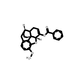 COc1ccc2c3c1O[C@H]1C(OC(=O)c4ccccc4)=CCC4[C@H](CCC[C@@]341)C2